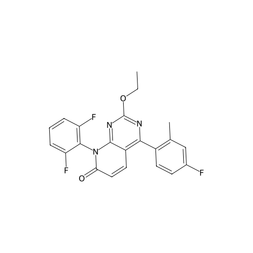 CCOc1nc(-c2ccc(F)cc2C)c2ccc(=O)n(-c3c(F)cccc3F)c2n1